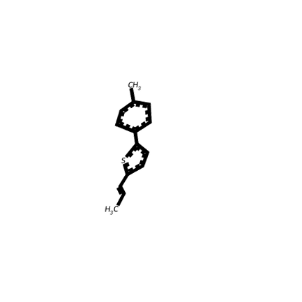 C/C=C/c1ccc(-c2ccc(C)cc2)s1